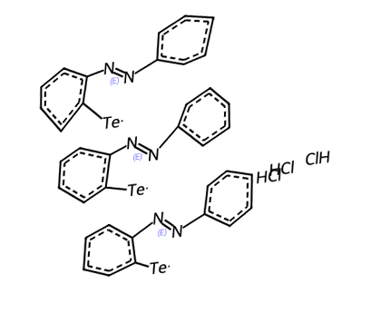 Cl.Cl.Cl.[Te]c1ccccc1/N=N/c1ccccc1.[Te]c1ccccc1/N=N/c1ccccc1.[Te]c1ccccc1/N=N/c1ccccc1